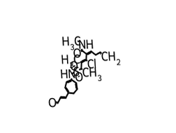 C=CC/C=C(C(=O)NC)\C(Cl)=C(/C)C(C)S(=O)(=O)NC1=CC=C(/C=C/C=O)CC=C1